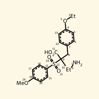 CCN.CCOc1ccc(CC(C)(C(=O)O)S(=O)(=O)c2ccc(OC)cc2)cc1